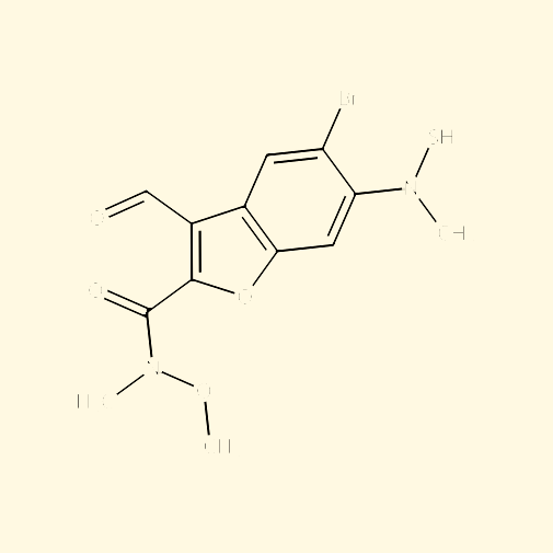 CON(C)C(=O)c1oc2cc(N(C)S)c(Br)cc2c1C=O